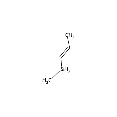 CC=C[SiH2]C